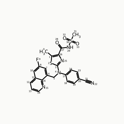 Cc1sc(N(Cc2cc(F)cc3cccnc23)c2ccc(C#N)cc2)nc1C(=O)NS(C)(=O)=O